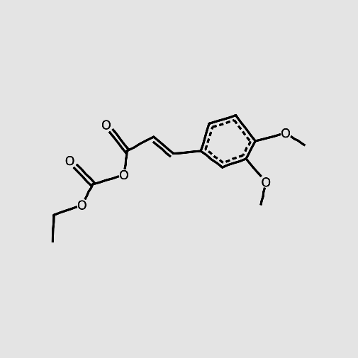 CCOC(=O)OC(=O)/C=C/c1ccc(OC)c(OC)c1